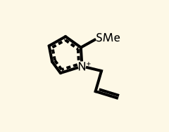 C=CC[n+]1ccccc1SC